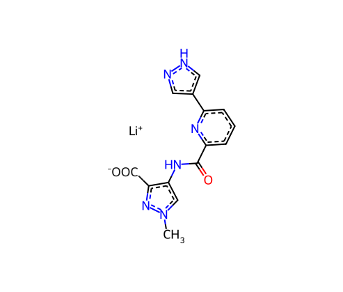 Cn1cc(NC(=O)c2cccc(-c3cn[nH]c3)n2)c(C(=O)[O-])n1.[Li+]